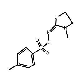 Cc1ccc(S(=O)(=O)ON=C2OCCN2C)cc1